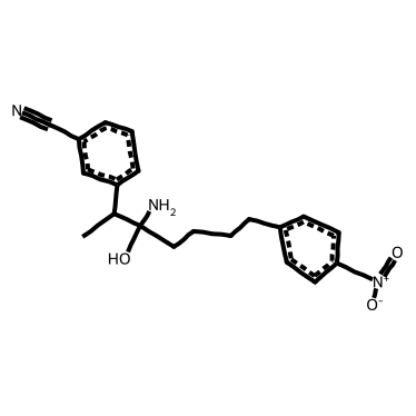 CC(c1cccc(C#N)c1)C(N)(O)CCCCc1ccc([N+](=O)[O-])cc1